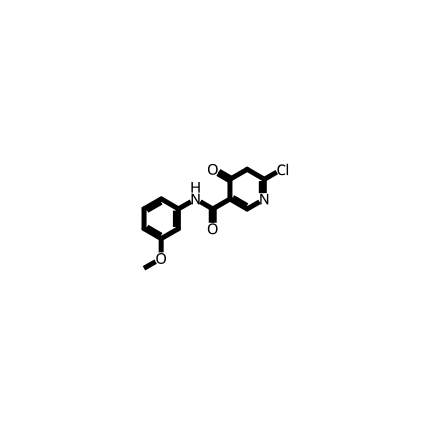 COc1cccc(NC(=O)C2=CN=C(Cl)CC2=O)c1